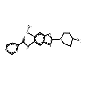 COc1cc2nc(N3CCC(C)CC3)sc2cc1NC(=O)c1ccncn1